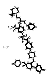 CC1(CN2CCNCC2)CCC(c2ccc(Cl)cc2)=C(CN2CCN(c3ccc(C(=O)NS(=O)(=O)c4ccc(NC(CCN5CCOCC56CC6)CSc5ccccc5)c(S(=O)(=O)C(F)(F)F)c4)cc3)CC2)C1.Cl